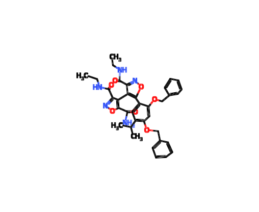 CCNC(=O)c1noc(C(N)=O)c1-c1c(C(=O)NCC)noc1-c1cc(C(C)C)c(OCc2ccccc2)cc1OCc1ccccc1